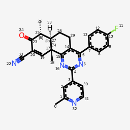 Cc1cc(-c2nc(-c3ccc(F)cc3)c3c(n2)[C@]2(C)C=C(C#N)C(=O)[C@H](C)[C@H]2CC3)ccn1